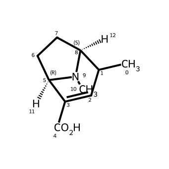 CC1C=C(C(=O)O)[C@H]2CC[C@@H]1N2C